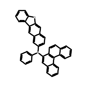 c1ccc(N(c2ccc3cc4oc5ccccc5c4cc3c2)c2cc3ccccc3c3c2ccc2ccccc23)cc1